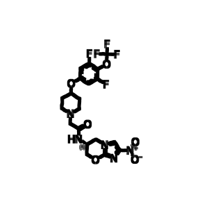 O=C(CN1CCC(Oc2cc(F)c(OC(F)(F)F)c(F)c2)CC1)N[C@@H]1COc2nc([N+](=O)[O-])cn2C1